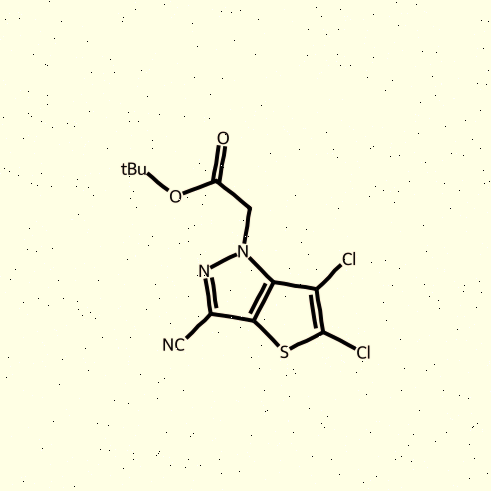 CC(C)(C)OC(=O)Cn1nc(C#N)c2sc(Cl)c(Cl)c21